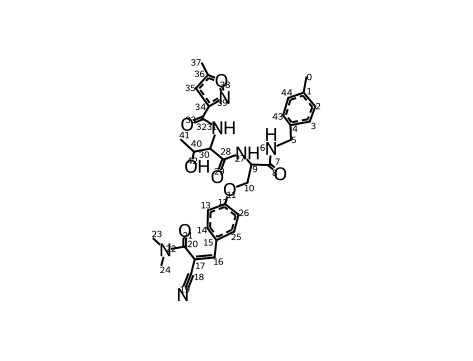 Cc1ccc(CNC(=O)C(COc2ccc(C=C(C#N)C(=O)N(C)C)cc2)NC(=O)C(NC(=O)c2cc(C)on2)C(C)O)cc1